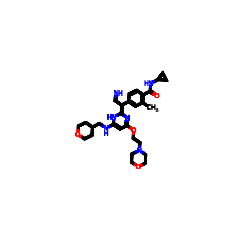 Cc1cc(/C(C=N)=C2\N=C(OCCN3CCOCC3)C=C(NCC3CCOCC3)N2)ccc1C(=O)NC1CC1